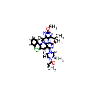 C=CC(=O)N1C[C@H](C)N(c2nc(=O)n(-c3c(C(C)C)nc(OC)nc3C(C)C)c3nc(-c4ccccc4F)c(Cl)cc23)C[C@H]1C